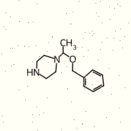 CC(OCc1ccccc1)N1CCNCC1